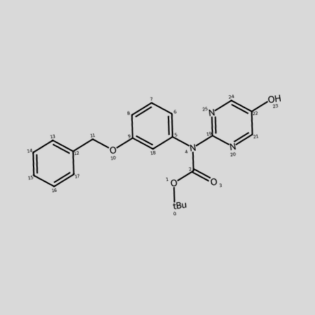 CC(C)(C)OC(=O)N(c1cccc(OCc2ccccc2)c1)c1ncc(O)cn1